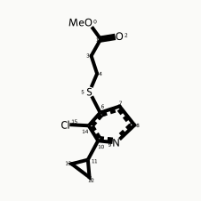 COC(=O)CCSc1ccnc(C2CC2)c1Cl